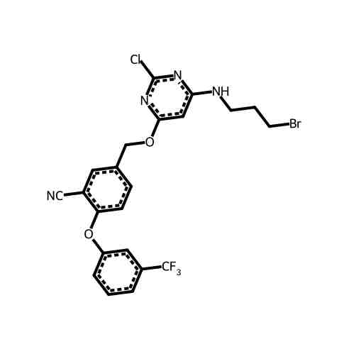 N#Cc1cc(COc2cc(NCCCBr)nc(Cl)n2)ccc1Oc1cccc(C(F)(F)F)c1